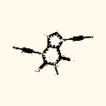 CC#Cn1cnc2c1c(=O)n(C)c(=O)n2C#CC